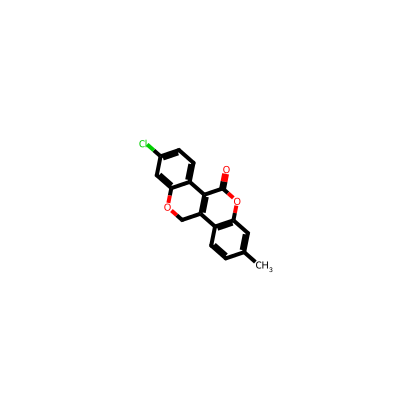 Cc1ccc2c3c(c(=O)oc2c1)-c1ccc(Cl)cc1OC3